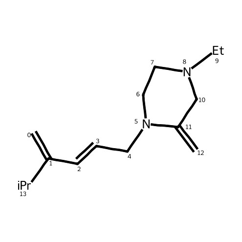 C=C(/C=C/CN1CCN(CC)CC1=C)C(C)C